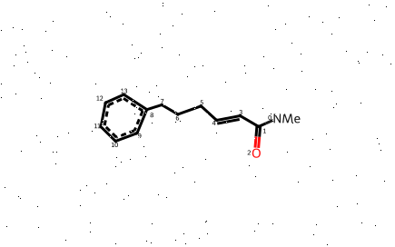 CNC(=O)C=CCCCc1ccccc1